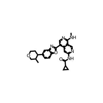 CNc1ncc(-c2nc3cc(C4CCOCC4C)ccc3o2)c2cc(NC(=O)C3CC3)ncc12